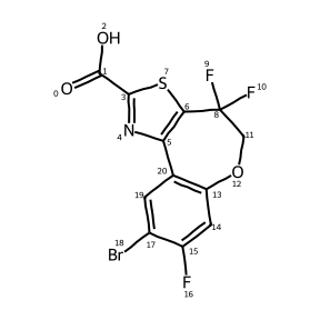 O=C(O)c1nc2c(s1)C(F)(F)COc1cc(F)c(Br)cc1-2